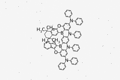 CC1(C)CCC(C)(C)c2cc3c(cc21)Oc1cc(N(c2ccccc2)c2ccccc2)cc2c1B3c1cc3c(cc1N2c1ccccc1)N(c1ccccc1)c1cc(N(c2ccccc2)c2ccccc2)cc2c1B3c1sc3ccccc3c1O2